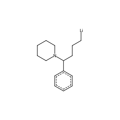 [Li][CH2]CCC(c1ccccc1)N1CCCCC1